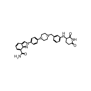 NC(=O)c1cccc2cn(-c3ccc(N4CCN(Cc5cccc(NC6CCC(=O)NC6=O)c5)CC4)cc3)nc12